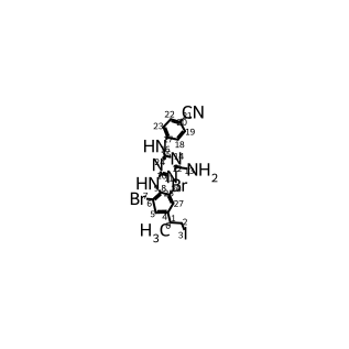 CC(CI)c1cc(Br)c(Nc2nc(N)nc(Nc3ccc(C#N)cc3)n2)c(Br)c1